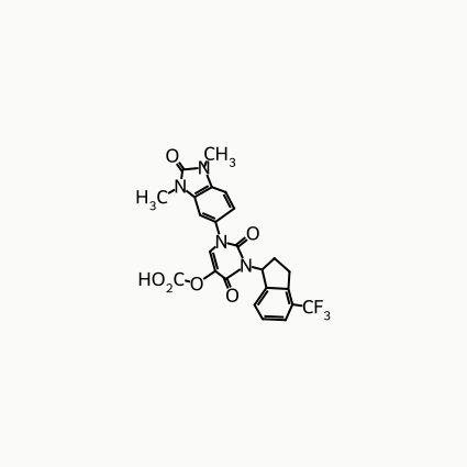 Cn1c(=O)n(C)c2cc(-n3cc(OC(=O)O)c(=O)n(C4CCc5c4cccc5C(F)(F)F)c3=O)ccc21